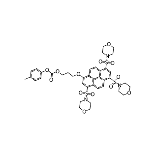 Cc1ccc(OC(=O)OCCCOc2cc(S(=O)(=O)N3CCOCC3)c3ccc4c(S(=O)(=O)N5CCOCC5)cc(S(=O)(=O)N5CCOCC5)c5ccc2c3c54)cc1